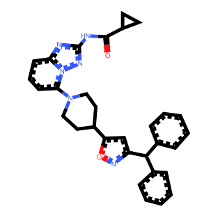 O=C(Nc1nc2cccc(N3CCC(c4cc(C(c5ccccc5)c5ccccc5)no4)CC3)n2n1)C1CC1